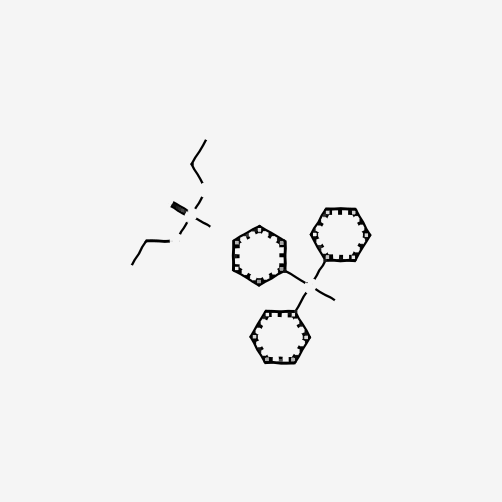 CCOP(=O)([O-])OCC.C[P+](c1ccccc1)(c1ccccc1)c1ccccc1